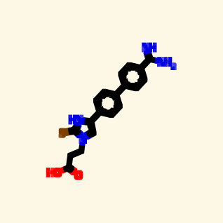 N=C(N)c1ccc(-c2ccc(-c3cn(CCC(=O)O)c(=S)[nH]3)cc2)cc1